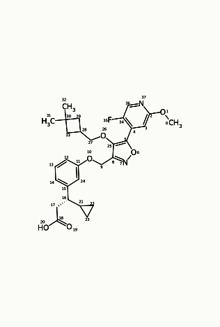 COc1cc(-c2onc(COc3cccc([C@@H](CC(=O)O)C4CC4)c3)c2OCC2CC(C)(C)C2)c(F)cn1